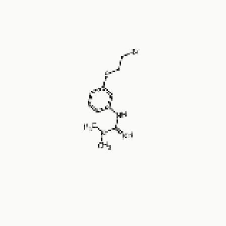 CN(C)C(=N)Nc1cccc(SCCBr)c1